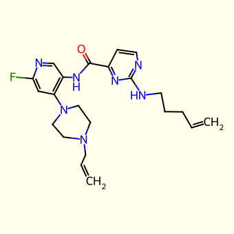 C=CCCCNc1nccc(C(=O)Nc2cnc(F)cc2N2CCN(CC=C)CC2)n1